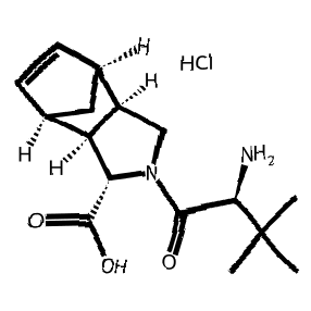 CC(C)(C)[C@H](N)C(=O)N1C[C@H]2[C@@H]([C@H]1C(=O)O)[C@H]1C=C[C@@H]2C1.Cl